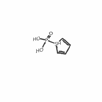 O=P(O)(O)[SH]1C=CC=C1